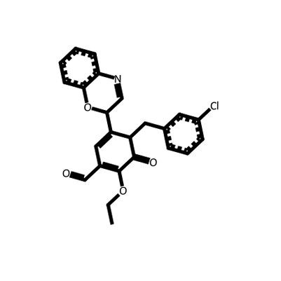 CCOC1=C(C=O)C=C(C2C=Nc3ccccc3O2)C(Cc2cccc(Cl)c2)C1=O